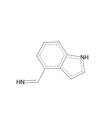 N=Cc1cccc2[nH]ccc12